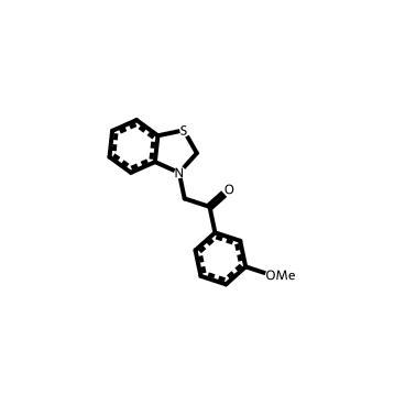 COc1cccc(C(=O)CN2CSc3ccccc32)c1